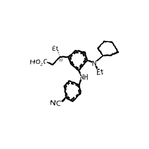 CC[C@@H](CC(=O)O)c1ccc(N(CC)C2CCCCC2)c(Nc2ccc(C#N)cc2)c1